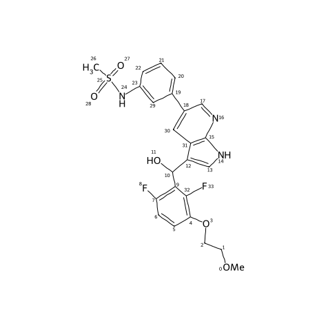 COCCOc1ccc(F)c(C(O)c2c[nH]c3ncc(-c4cccc(NS(C)(=O)=O)c4)cc23)c1F